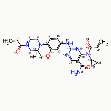 C=CC(=O)N1CCN2c3ccc(Nc4ncc(C(N)=O)c(N(C(=O)C=C)C5CC5)n4)cc3OC[C@H]2C1